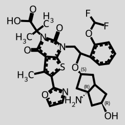 Cc1c(-c2ncco2)sc2c1c(=O)n(C(C)(C)C(=O)O)c(=O)n2CC(O[C@H]1CC2C[C@@H](O)C[C@@]2(N)C1)c1ccccc1OC(F)F